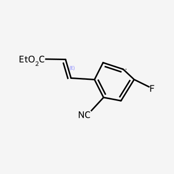 CCOC(=O)/C=C/c1c[c]c(F)cc1C#N